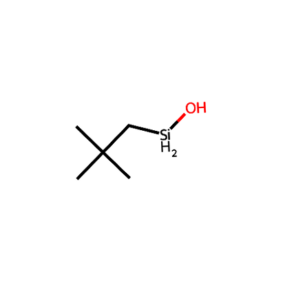 CC(C)(C)C[SiH2]O